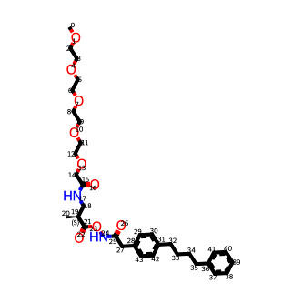 COCCOCCOCCOCCOCC(=O)NC[C@H](C)C(=O)ONC(=O)Cc1ccc(CCCCc2ccccc2)cc1